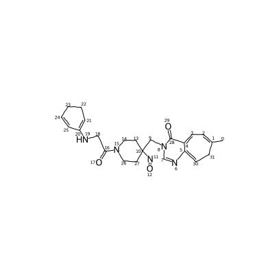 CC1=CC=c2c(ncn(CC3(N=O)CCN(C(=O)CNC4=CCCC=C4)CC3)c2=O)=CC1